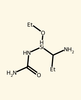 CCO[SiH](NC(N)=O)C(N)CC